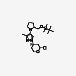 Cc1nn([C@H]2CCOC(Cl)C2)cc1N1CCCC1CO[Si](C)(C)C(C)(C)C